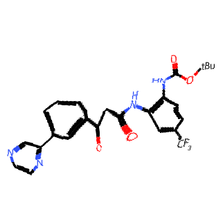 CC(C)(C)OC(=O)Nc1ccc(C(F)(F)F)cc1NC(=O)CC(=O)c1cccc(-c2cnccn2)c1